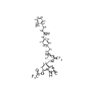 O=C(Oc1ccc([C@H](CNCCc2ccc(CNCCc3ccccc3F)cc2)OC(=O)C(F)(F)F)c2sc(=O)[nH]c12)C(F)(F)F